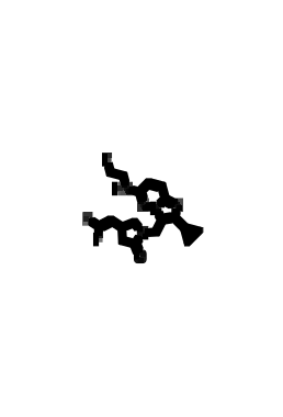 O=C1CC(C=C(F)F)CN1Cc1c(C2CC2)nc2ccc(NCCF)nn12